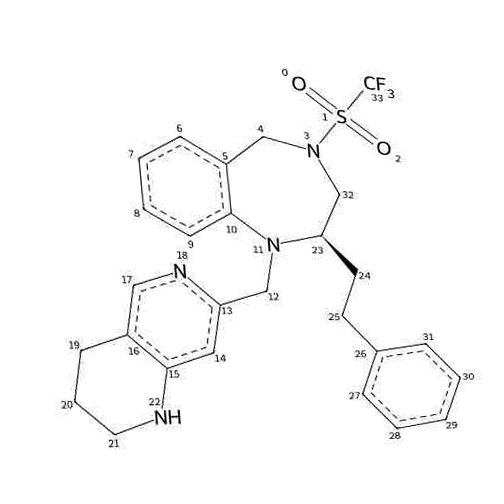 O=S(=O)(N1Cc2ccccc2N(Cc2cc3c(cn2)CCCN3)[C@H](CCc2ccccc2)C1)C(F)(F)F